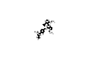 CCn1ccc2nc(-c3c(OC)ncnc3C3CC3)nc(OCc3ccc(-c4nc(C(F)(F)F)cn4C)c(F)c3)c21